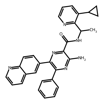 CC(NC(=O)c1nc(-c2ccc3ncccc3c2)c(-c2ccccc2)nc1N)c1ncccc1C1CC1